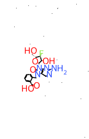 Nc1ncc2c(n1)n([C@@H]1O[C@H](CO)[C@@H](F)[C@H]1O)c(=O)n2Cc1ccccc1C(=O)O